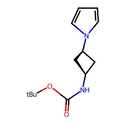 CC(C)(C)OC(=O)NC12CC(n3cccc3)(C1)C2